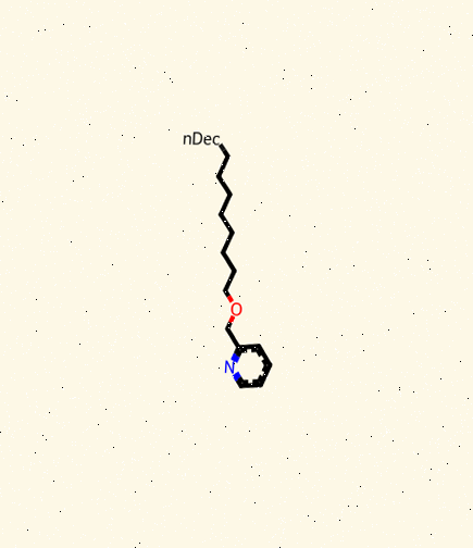 CCCCCCCCCCCCCCCCCCOCc1ccccn1